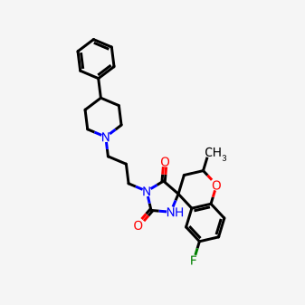 CC1CC2(NC(=O)N(CCCN3CCC(c4ccccc4)CC3)C2=O)c2cc(F)ccc2O1